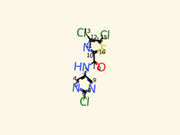 O=C(Nc1cnc(Cl)nc1)c1nc(Cl)c(Cl)s1